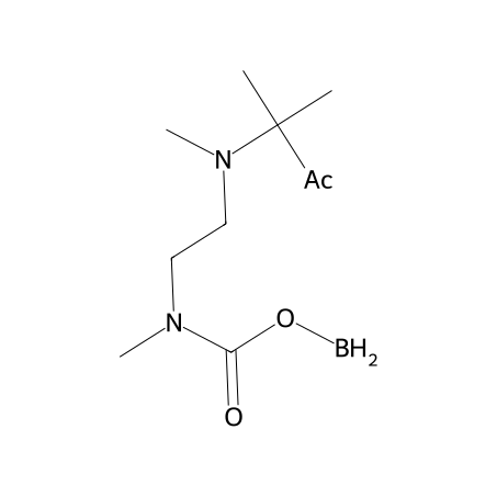 BOC(=O)N(C)CCN(C)C(C)(C)C(C)=O